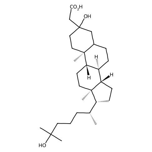 C[C@H](CCCC(C)(C)O)[C@H]1CC[C@H]2[C@@H]3CCC4CC(O)(CC(=O)O)CC[C@]4(C)[C@H]3CC[C@]12C